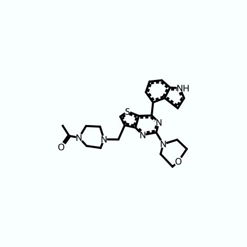 CC(=O)N1CCN(Cc2csc3c(-c4cccc5[nH]ccc45)nc(N4CCOCC4)nc23)CC1